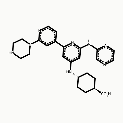 O=C(O)[C@H]1CC[C@H](Nc2cc(Nc3cnccn3)nc(-c3ccnc(N4CCNCC4)c3)c2)CC1